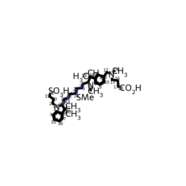 CSC(=C\C=C\C1=[N+](C)c2ccc(CN(C)CCCC(=O)O)cc2C1(C)C)/C=C/C=C1/N(CCCS(=O)(=O)O)c2ccccc2C1(C)C